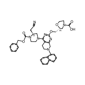 N#CC[C@H]1CN(c2nc(OC[C@H]3CN(C(=O)O)CCO3)nc3c2CCN(c2cccc4ccccc24)C3)CCN1C(=O)OCc1ccccc1